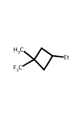 CCC1CC(C)(C(F)(F)F)C1